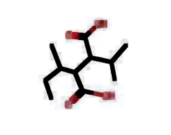 CCC(C)C(C(=O)O)C(C(=O)O)C(C)C